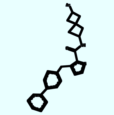 CC(=O)C1CC2(CC(NC(=O)c3sccc3Cc3ccc(-c4ccccc4)cc3)C2)C1